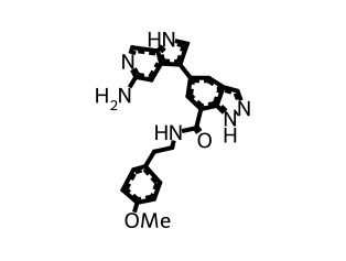 COc1ccc(CCNC(=O)c2cc(-c3c[nH]c4cnc(N)cc34)cc3cn[nH]c23)cc1